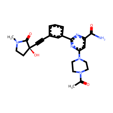 CC(=O)N1CCN(c2cc(C(N)=O)nc(-c3cccc(C#C[C@]4(O)CCN(C)C4=O)c3)n2)CC1